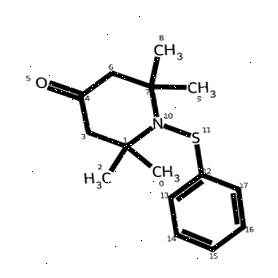 CC1(C)CC(=O)CC(C)(C)N1Sc1ccccc1